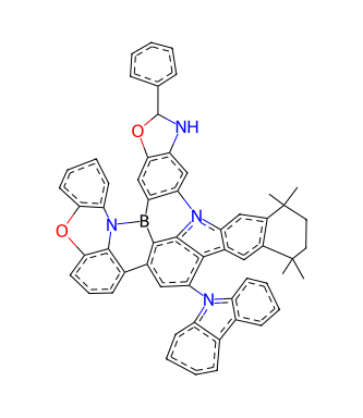 CC1(C)CCC(C)(C)c2cc3c(cc21)c1c(-n2c4ccccc4c4ccccc42)cc2c4c1n3-c1cc3c(cc1B4N1c4ccccc4Oc4cccc-2c41)OC(c1ccccc1)N3